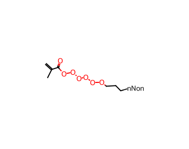 C=C(C)C(=O)OOOOOOCCCCCCCCCCCC